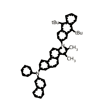 Cc1c(C)n(-c2ccc3c(C(C)(C)C)c4ccccc4c(C(C)(C)C)c3c2)c2ccc3c4ccc(N(c5ccccc5)c5ccc6ccccc6c5)cc4ccc3c12